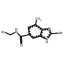 CCCc1nc2c(C)cc(C(=O)NCC(C)=O)cc2[nH]1